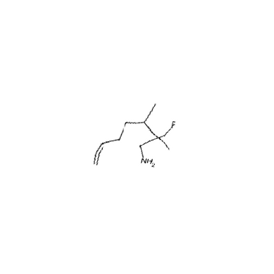 C=CCCC(C)C(C)(F)CN